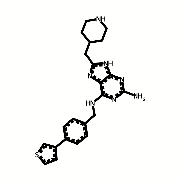 Nc1nc(NCc2ccc(-c3ccsc3)cc2)c2nc(CC3CCNCC3)[nH]c2n1